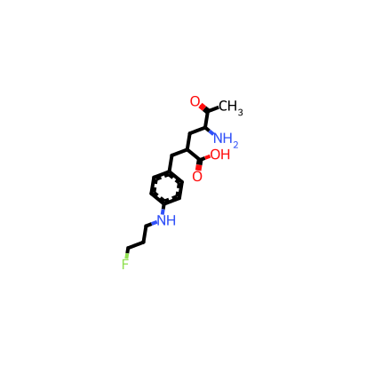 CC(=O)C(N)CC(Cc1ccc(NCCCF)cc1)C(=O)O